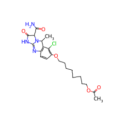 CC(=O)OCCCCCCCCOc1ccc2c(c1Cl)C(C)N1C(=N2)NC(=O)C1C(N)=O